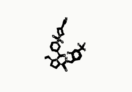 CC[C@@H]1CC[C@H](C(=O)NCc2ccc(C(F)(F)F)cc2F)N1C(=O)[C@H]1CCCN(S(=O)(=O)N2CC(C#N)C2)C1